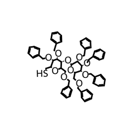 SCC1OC(COCc2ccccc2)[C@@H](OC2OC(COCc3ccccc3)[C@@H](OCc3ccccc3)[C@@H](OCc3ccccc3)[C@@H]2OCc2ccccc2)[C@@H](OCc2ccccc2)[C@@H]1OCc1ccccc1